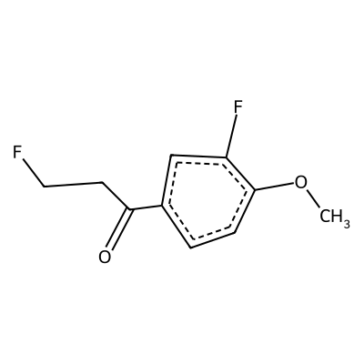 COc1ccc(C(=O)CCF)cc1F